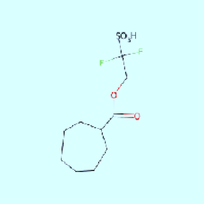 O=C(OCC(F)(F)S(=O)(=O)O)C1CCCCCC1